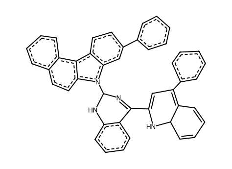 C1=CC2=C(c3ccccc3)C=C(C3=NC(n4c5cc(-c6ccccc6)ccc5c5c6ccccc6ccc54)Nc4ccccc43)NC2C=C1